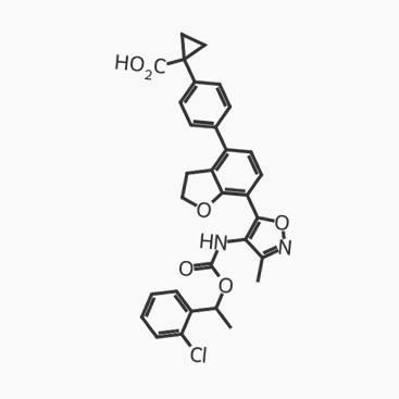 Cc1noc(-c2ccc(-c3ccc(C4(C(=O)O)CC4)cc3)c3c2OCC3)c1NC(=O)OC(C)c1ccccc1Cl